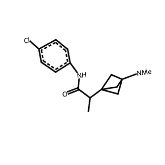 CNC12CC(C(C)C(=O)Nc3ccc(Cl)cc3)(C1)C2